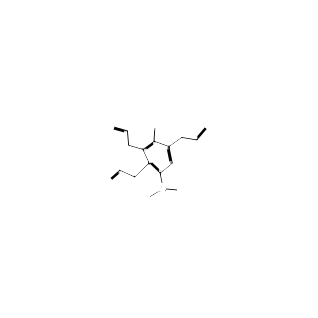 C=CCc1cc(N(C)C)c(CC=C)c(CC=C)c1O